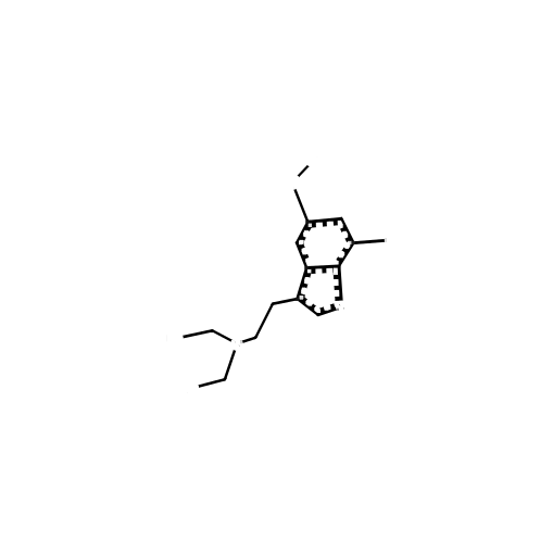 CCN(CC)CCc1c[nH]c2c(F)cc(OC)cc12